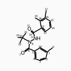 Cc1cccc(C(=O)N(NC(=O)c2cccc(C)c2C)C(C)(C)C)c1